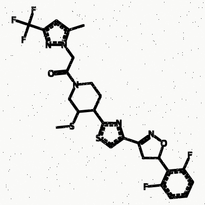 CSC1CN(C(=O)Cn2nc(C(F)(F)F)cc2C)CCC1c1nc(C2=NOC(c3c(F)cccc3F)C2)cs1